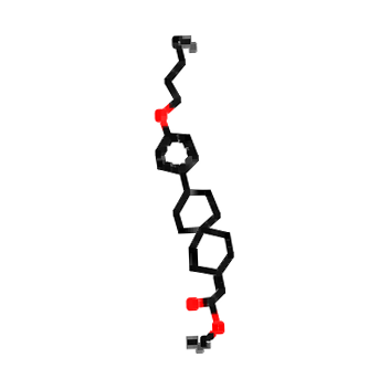 CCCCOc1ccc(C2CCC3(C=C/C(=C\C(=O)OC)CC3)CC2)cc1